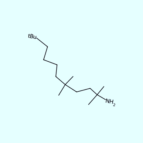 CC(C)(C)CCCCC(C)(C)CCC(C)(C)N